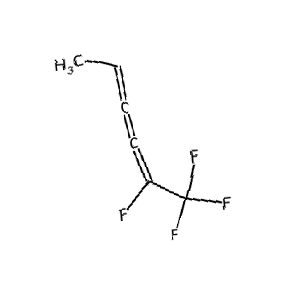 CC=C=C=C(F)C(F)(F)F